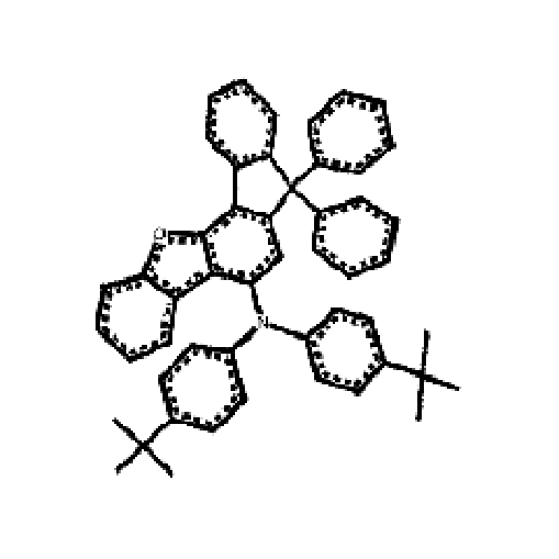 CC(C)(C)c1ccc(N(c2ccc(C(C)(C)C)cc2)c2cc3c(c4oc5ccccc5c24)-c2ccccc2C3(c2ccccc2)c2ccccc2)cc1